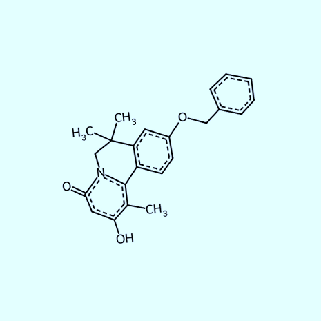 Cc1c(O)cc(=O)n2c1-c1ccc(OCc3ccccc3)cc1C(C)(C)C2